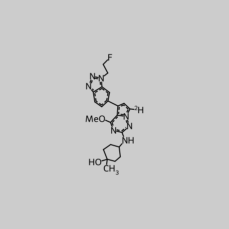 [2H]c1cc(-c2ccc3nnn(CCF)c3c2)c2c(OC)nc(NC3CCC(C)(O)CC3)nn12